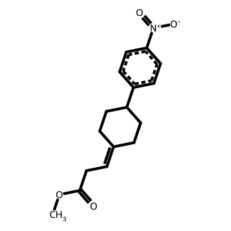 COC(=O)CC=C1CCC(c2ccc([N+](=O)[O-])cc2)CC1